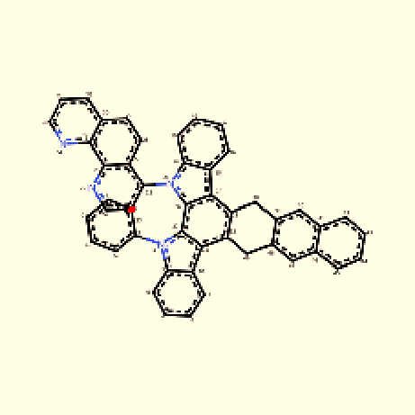 c1ccc(-n2c3ccccc3c3c4c(c5c6ccccc6n(-c6ccnc7c6ccc6cccnc67)c5c32)Cc2cc3ccccc3cc2C4)cc1